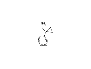 NCC1(c2ccn[c]n2)CC1